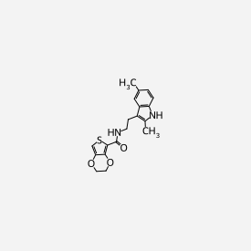 Cc1ccc2[nH]c(C)c(CCNC(=O)c3scc4c3OCCO4)c2c1